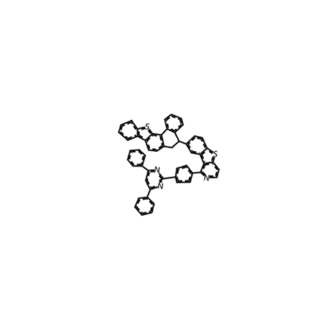 c1ccc(-c2cc(-c3ccccc3)nc(-c3ccc(-c4nccc5sc6ccc(C7Cc8ccc9c(sc%10ccccc%109)c8-c8ccccc87)cc6c45)cc3)n2)cc1